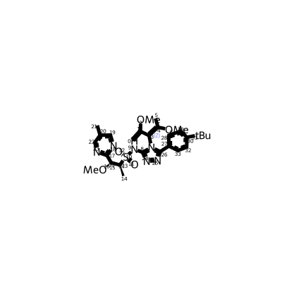 C=C(OC)/C(=C(\C)OC)n1c(NS(=O)(=O)[C@@H](C)[C@H](OC)c2ncc(C)cn2)nnc1-c1ccc(C(C)(C)C)cc1